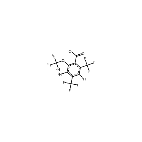 [2H]c1c(OC([2H])([2H])[2H])c(C(=O)Cl)c(C(F)(F)F)c([2H])c1C(F)(F)F